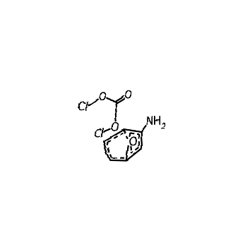 Nc1cc2ccc1o2.O=C(OCl)OCl